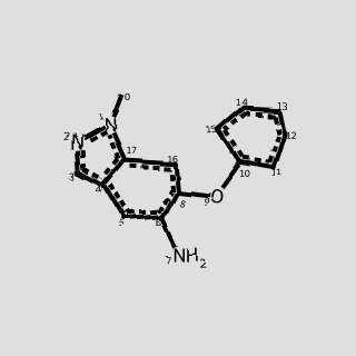 Cn1ncc2cc(N)c(Oc3ccccc3)cc21